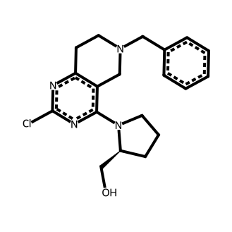 OC[C@@H]1CCCN1c1nc(Cl)nc2c1CN(Cc1ccccc1)CC2